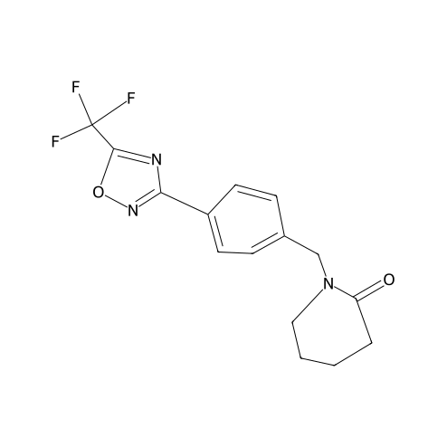 O=C1CCCCN1Cc1ccc(-c2noc(C(F)(F)F)n2)cc1